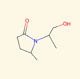 CC(CO)N1C(=O)CCC1C